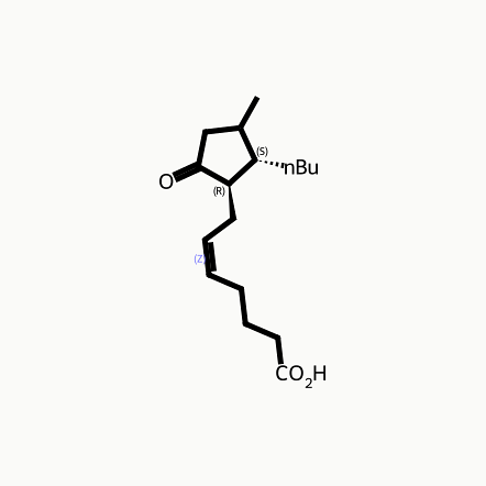 CCCC[C@H]1C(C)CC(=O)[C@@H]1C/C=C\CCCC(=O)O